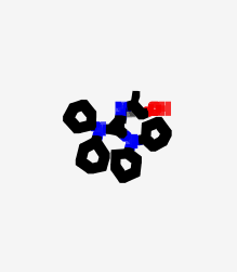 C[C@@H](CO)N=c1c(N(C2CCCCC2)C2CCCCC2)c1N(C1CCCCC1)C1CCCCC1